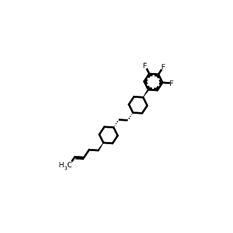 C/C=C/CC[C@H]1CC[C@H](CC[C@H]2CC[C@H](c3cc(F)c(F)c(F)c3)CC2)CC1